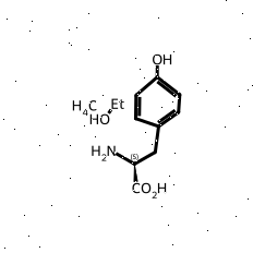 C.CCO.N[C@@H](Cc1ccc(O)cc1)C(=O)O